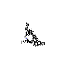 COCCOCCN1CC/C=C/[C@H](O)[C@@H]2CC[C@H]2CN2C[C@@]3(CCCc4cc(Cl)ccc43)COc3ccc(cc32)C(=O)NS1(=O)=O